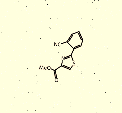 COC(=O)c1csc(-c2ccccc2C#N)n1